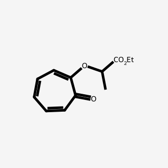 CCOC(=O)C(C)Oc1cccccc1=O